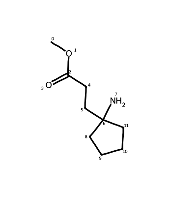 COC(=O)CCC1(N)CCCC1